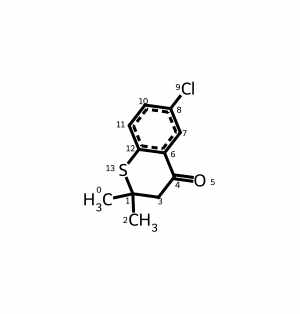 CC1(C)CC(=O)c2cc(Cl)ccc2S1